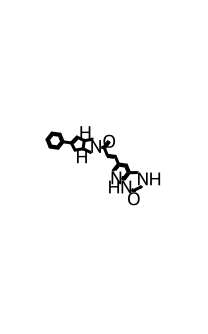 O=C1CNCc2cc(/C=C/C(=O)N3C[C@H]4CC(c5ccccc5)=C[C@H]4C3)cnc2N1